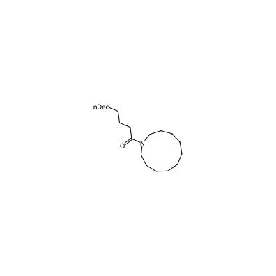 CCCCCCCCCCCCCC(=O)N1CCCCCCCCCC1